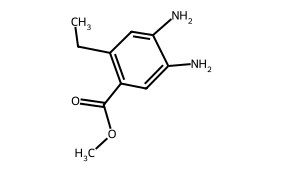 CCc1cc(N)c(N)cc1C(=O)OC